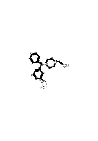 Cl.Cl.O=C(O)CN1CCN([C@@H](c2ccccc2)c2cccc(Br)c2)CC1